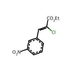 CCOC(=O)C(Cl)=Cc1cccc([N+](=O)[O-])c1